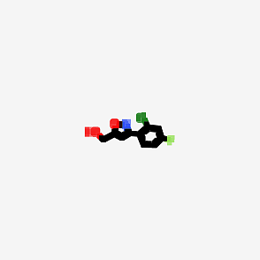 OCc1cc(-c2ccc(F)cc2Cl)no1